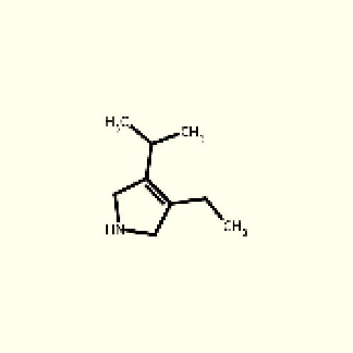 CCC1=C(C(C)C)CNC1